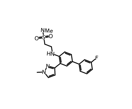 CNS(=O)(=O)CCNc1ccc(-c2cccc(F)c2)cc1-c1ccn(C)n1